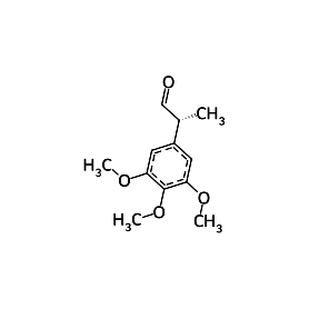 COc1cc([C@@H](C)C=O)cc(OC)c1OC